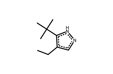 CCc1cn[nH]c1C(C)(C)C